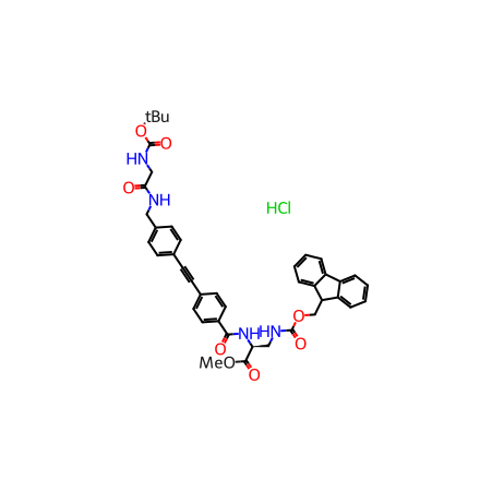 COC(=O)[C@H](CNC(=O)OCC1c2ccccc2-c2ccccc21)NC(=O)c1ccc(C#Cc2ccc(CNC(=O)CNC(=O)OC(C)(C)C)cc2)cc1.Cl